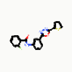 O=C(Nc1cccc(-c2nnc(-c3cccs3)o2)c1)c1ccccc1F